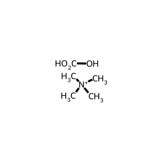 C[N+](C)(C)C.O=C(O)O